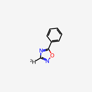 [2H]c1noc(-c2ccccc2)n1